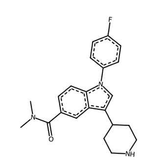 CN(C)C(=O)c1ccc2c(c1)c(C1CCNCC1)cn2-c1ccc(F)cc1